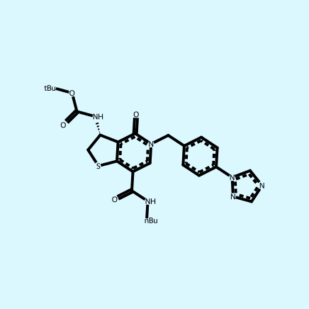 CCCCNC(=O)c1cn(Cc2ccc(-n3cncn3)cc2)c(=O)c2c1SC[C@@H]2NC(=O)OC(C)(C)C